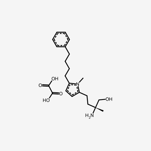 Cn1c(CCCCc2ccccc2)ccc1CC[C@@](C)(N)CO.O=C(O)C(=O)O